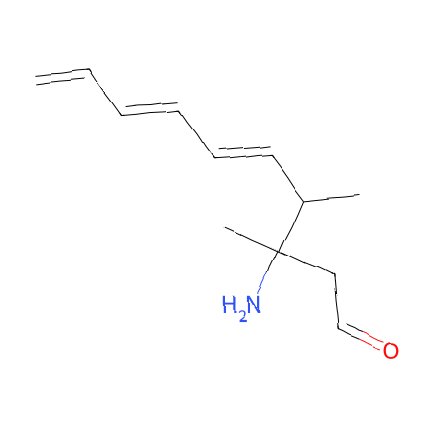 C=CC=CC=CC(C)C(C)(N)CC=O